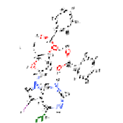 CC[C@H]1O[C@@H](n2cc(I)c3c(Cl)ncnc32)[C@@H](OC(=O)c2ccccc2)C1OC(=O)c1ccccc1